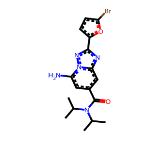 CC(C)N(C(=O)c1cc(N)n2nc(-c3ccc(Br)o3)nc2c1)C(C)C